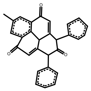 Cc1cc2c3c(c1)C(=O)C=C1C(c4ccccc4)C(=O)C(c4ccccc4)C(=CC2=O)C13